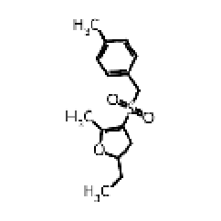 CCC1CC(S(=O)(=O)Cc2ccc(C)cc2)=C(C)O1